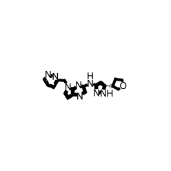 c1cnnc(Cn2ccc3ncc(Nc4cc([C@@H]5CCOC5)[nH]n4)nc32)c1